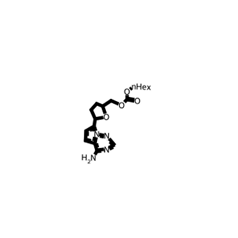 CCCCCCOC(=O)OCC1CCC(c2ccc3c(N)ncnn23)O1